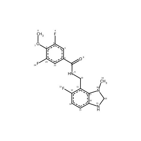 COc1c(F)cc(C(=O)NCc2c(F)ccc3c2N(C)CN3)cc1F